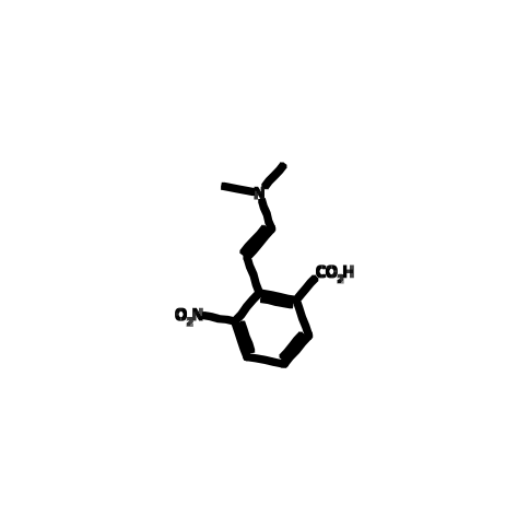 CN(C)C=Cc1c(C(=O)O)cccc1[N+](=O)[O-]